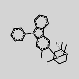 Cc1cc2c(cc1N1[C@@H](C)N3CCC1(C)CC3C)c1ccccc1n2-c1ccccc1